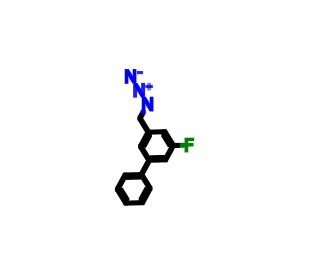 [N-]=[N+]=NCc1cc(F)cc(-c2ccccc2)c1